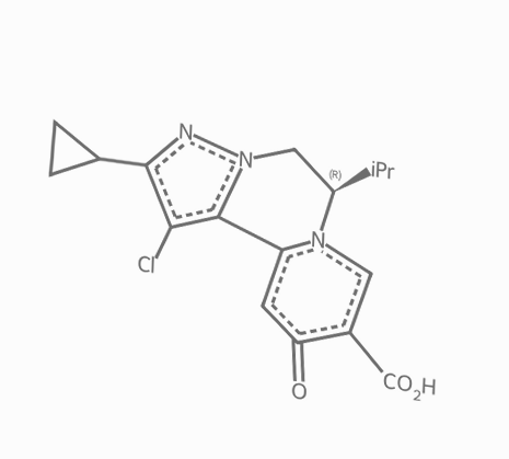 CC(C)[C@@H]1Cn2nc(C3CC3)c(Cl)c2-c2cc(=O)c(C(=O)O)cn21